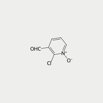 O=Cc1ccc[n+]([O-])c1Cl